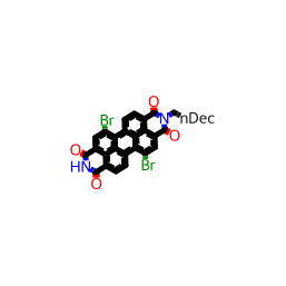 CCCCCCCCCCCN1C(=O)c2ccc3c4c(Br)cc5c6c(ccc(c7c(Br)cc(c2c37)C1=O)c64)C(=O)NC5=O